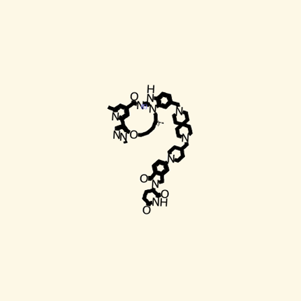 Cc1cc2cc(n1)-c1cnn(C)c1OCCC[C@@H](C)CN1/C(=N/C2=O)Nc2ccc(CN3CCC4(CC3)CCN(CC3CCN(c5ccc6c(c5)CN(C5CCC(=O)NC5=O)C6=O)CC3)CC4)cc21